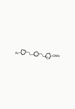 COc1ccc(CCc2ccc(CCc3ccc(C(C)=O)cc3)cc2)cc1